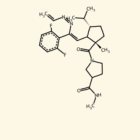 C=C/N=N\C(=C/C1[C@H](C(C)C)CC[C@]1(C)C(=O)N1CCC(C(=O)NC)C1)c1c(F)cccc1F